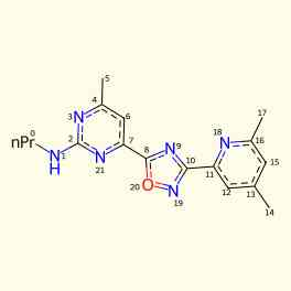 CCCNc1nc(C)cc(-c2nc(-c3cc(C)cc(C)n3)no2)n1